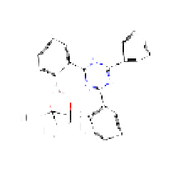 CC1(C)OB(c2ccccc2C2N=C(c3ccccc3)N=C(c3ccccc3)N2)OC1(C)C